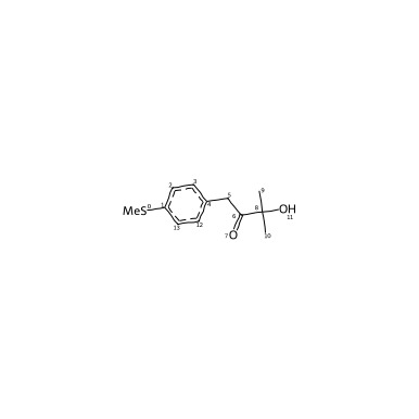 CSc1ccc(CC(=O)C(C)(C)O)cc1